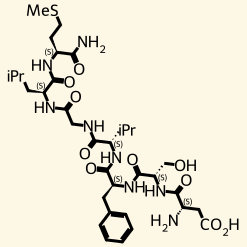 CSCC[C@H](NC(=O)[C@H](CC(C)C)NC(=O)CNC(=O)[C@@H](NC(=O)[C@H](Cc1ccccc1)NC(=O)[C@H](CO)NC(=O)[C@@H](N)CC(=O)O)C(C)C)C(N)=O